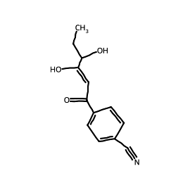 CCC(O)/C(O)=C/C(=O)c1ccc(C#N)cc1